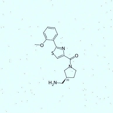 COc1ccccc1-c1nc(C(=O)N2CC[C@@H](CN)C2)cs1